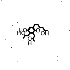 CC(O)Cc1c(O)cc2c(c1CC(C)O)OC(CC(C)O)CC2